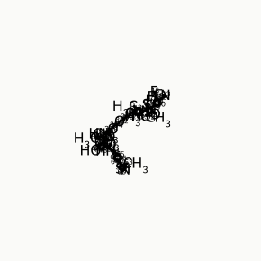 Cc1cc(N2C(=S)N(c3ccc(C#N)c(C(F)(F)F)c3F)C(=O)C2(C)C)cnc1OCCCOCCOCC(=O)N[C@H](C(=O)N1C[C@H](O)C[C@H]1C(=O)NCc1ccc(-c2scnc2C)cc1)C(C)(C)C